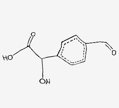 O=Cc1ccc(C(O)C(=O)O)cc1